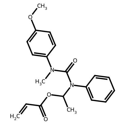 C=CC(=O)OC(C)N(C(=O)N(C)c1ccc(OC)cc1)c1ccccc1